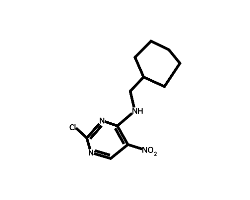 O=[N+]([O-])c1cnc(Cl)nc1NCC1CCCCC1